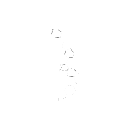 N[C@H]1CC[C@H](Nc2ncc3c(-c4cccc(NCc5ccc(Cl)cc5)c4)n[nH]c3n2)CC1